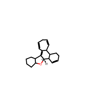 C1=CC2=C3C4CCCCC4O[C@H]3C3C=CCCC3C2C=CC1